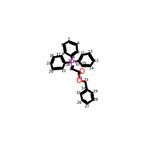 O=C(C=P(c1ccccc1)(c1ccccc1)c1ccccc1)OCc1ccccc1